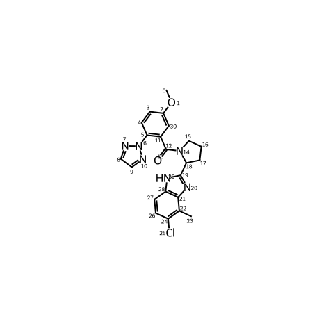 COc1ccc(-n2nccn2)c(C(=O)N2CCCC2c2nc3c(C)c(Cl)ccc3[nH]2)c1